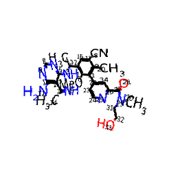 COc1c(C(C)Nc2ncnc(N)c2C(C)=N)cc(C#N)c(C)c1-c1ccnc(C(=O)N(C)CCO)c1